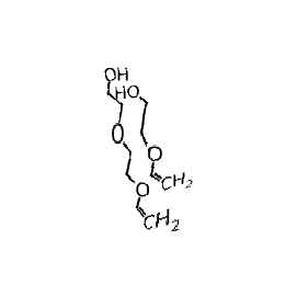 C=COCCO.C=COCCOCCO